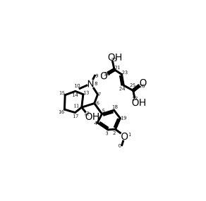 COc1ccc(C(CN(C)C)C2(O)CCCCC2)cc1.O=C(O)/C=C/C(=O)O